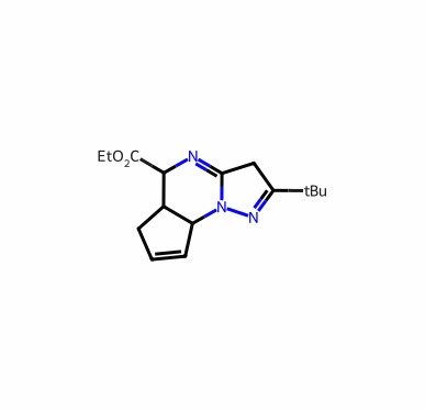 CCOC(=O)C1N=C2CC(C(C)(C)C)=NN2C2C=CCC12